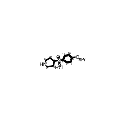 CC(C)Oc1ccc(S(=O)(=O)C2CCNCC2)cc1.Cl